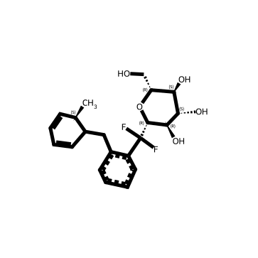 C[C@@H]1C=CC=CC1Cc1ccccc1C(F)(F)[C@@H]1O[C@H](CO)[C@@H](O)[C@H](O)[C@H]1O